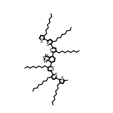 CCCCCCCCc1ccsc1-c1cc(CCCCCCCC)c(-c2cc(CCCCCCCC)c(-c3ccc(-c4sc(-c5sc(-c6sc(C)cc6CCCCCCCC)cc5CCCCCCCC)cc4CCCCCCCC)c4nsnc34)s2)s1